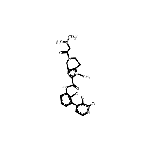 CN(CC(=O)N1CCc2c(nc(C(=O)Nc3cccc(-c4ccnc(Cl)c4Cl)c3Cl)n2C)C1)C(=O)O